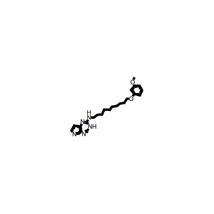 COc1cccc(OCCCCCCCCCCN/C(=N/c2ccncc2)NC#N)c1